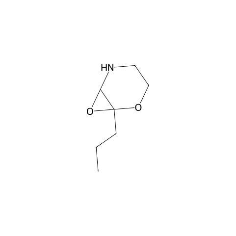 CCCC12OCCNC1O2